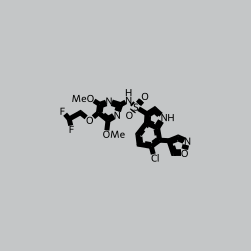 COc1nc(NS(=O)(=O)c2c[nH]c3c(-c4cnoc4)c(Cl)ccc23)nc(OC)c1OCC(F)F